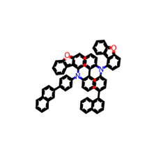 c1ccc(N(c2ccc(-c3ccc4ccccc4c3)cc2)c2cccc3oc4ccccc4c23)c(-c2ccccc2N(c2ccc(-c3cccc4ccccc34)cc2)c2cccc3oc4ccccc4c23)c1